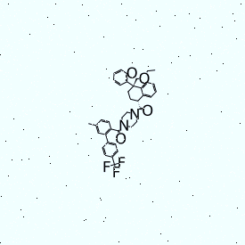 CCOC(=O)[C@]1(c2ccccc2)CC[C@@H](C(=O)N2CCN(C(=O)c3ccc(C)cc3-c3ccc(C(F)(F)F)cc3)CC2)c2ccccc21